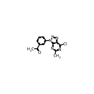 CC(=O)c1cccc(-n2nnc3c(Cl)nc(C)nc32)c1